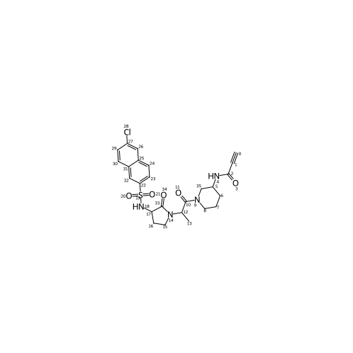 C#CC(=O)NC1CCCN(C(=O)C(C)N2CCC(NS(=O)(=O)c3ccc4cc(Cl)ccc4c3)C2=O)C1